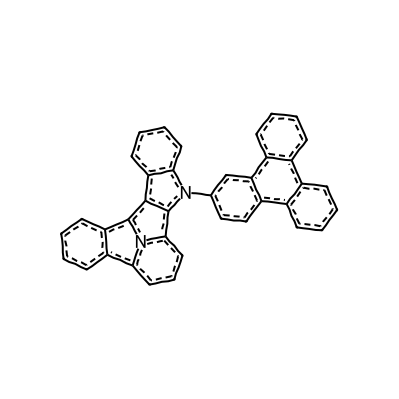 c1ccc2c(c1)c1ccccc1c1cc(-n3c4ccccc4c4c3c3cccc5c6ccccc6c4n53)ccc21